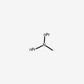 [CH2]N(CCC)CCC